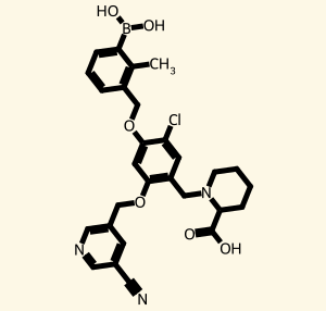 Cc1c(COc2cc(OCc3cncc(C#N)c3)c(CN3CCCCC3C(=O)O)cc2Cl)cccc1B(O)O